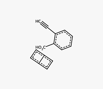 C#Cc1ccccc1C(=O)O.c1cc2ccc1-2